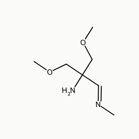 CN=CC(N)(COC)COC